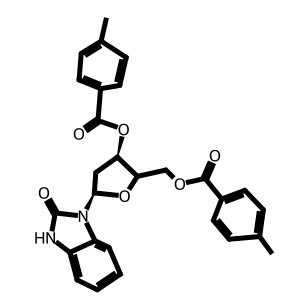 Cc1ccc(C(=O)OCC2O[C@@H](n3c(=O)[nH]c4ccccc43)C[C@H]2OC(=O)c2ccc(C)cc2)cc1